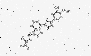 CC(C)Oc1ccc(-c2nnc(-c3cccc4c3CC[C@H]4NCC(=O)N(C)C)s2)cc1C#N